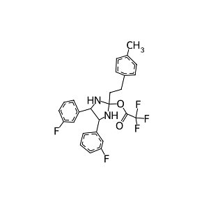 Cc1ccc(CCC2(OC(=O)C(F)(F)F)NC(c3cccc(F)c3)C(c3cccc(F)c3)N2)cc1